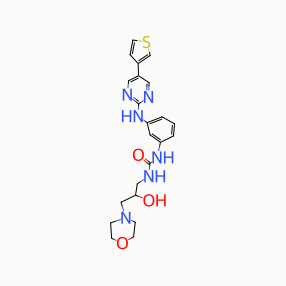 O=C(NCC(O)CN1CCOCC1)Nc1cccc(Nc2ncc(-c3ccsc3)cn2)c1